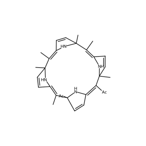 CC(=O)/C1=C2\C=CC(C(C)=O)(N2)/C(C)=C2/C=CC(C)(N2)/C(C)=C2/C=CC(C)(N2)/C(C)=C2/C=CC1(C)N2